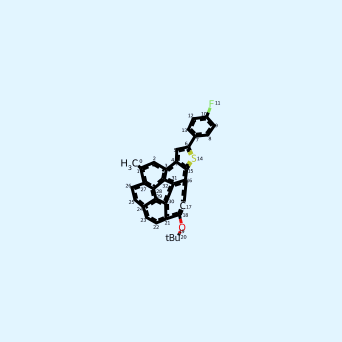 Cc1cc2c3cc(-c4ccc(F)cc4)sc3c3cc(OC(C)(C)C)c4ccc5ccc1c1c5c4c3c21